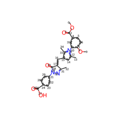 COC(=O)c1ccc(OC)c(-n2c(C)cc(C=C3C(=O)N(c4ccc(C(=O)O)cc4)N=C3C)c2C)c1